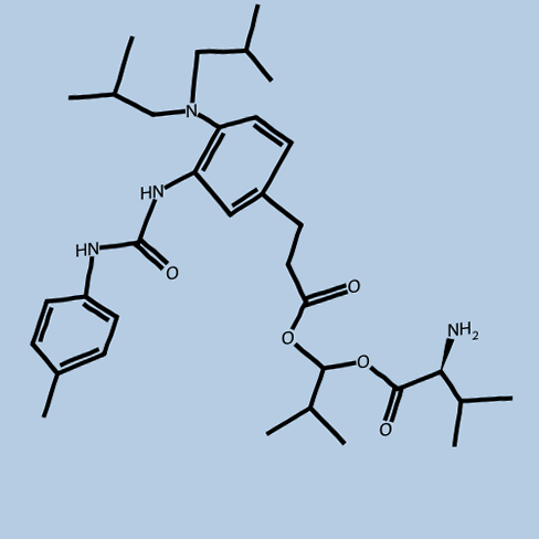 Cc1ccc(NC(=O)Nc2cc(CCC(=O)OC(OC(=O)[C@@H](N)C(C)C)C(C)C)ccc2N(CC(C)C)CC(C)C)cc1